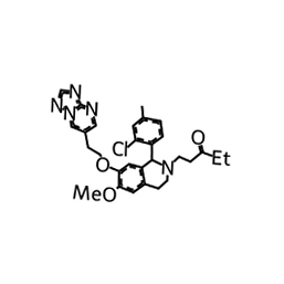 CCC(=O)CCN1CCc2cc(OC)c(OCCc3cnc4ncnn4c3)cc2C1c1ccc(C)cc1Cl